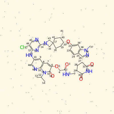 CNC(=O)COc1cc2cc(Nc3nc(N4CC5(CC[C@@H](Oc6ccc7c([C@H]8CCC(=O)NC8=O)nn(C)c7c6)[C@@H](C)C5)C4)ncc3Cl)cnc2n(C(C)C)c1=O